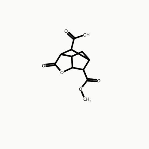 COC(=O)C1C2CC3C1OC(=O)C3C2C(=O)O